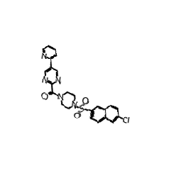 O=C(c1ncc(-c2ccccn2)cn1)N1CCN(S(=O)(=O)c2ccc3cc(Cl)ccc3c2)CC1